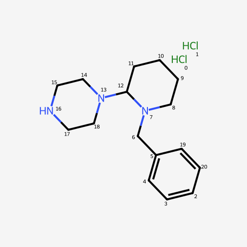 Cl.Cl.c1ccc(CN2CCCCC2N2CCNCC2)cc1